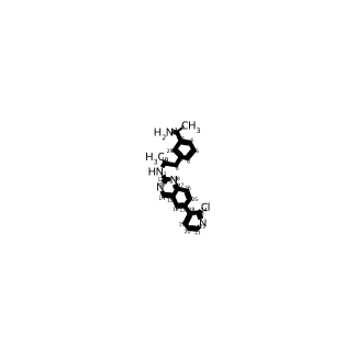 C[C@H](N)c1cccc(C[C@H](C)Nc2ncc3cc(-c4cccnc4Cl)ccc3n2)c1